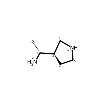 C[C@@H](N)[C@@H]1CCNC1